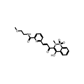 COCCNC(=O)c1cccc(C=CC(=O)C2=C(O)c3ccccc3S(=O)(=O)N2C)n1